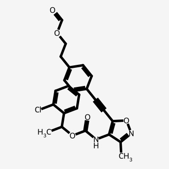 Cc1noc(C#Cc2ccc(CCOC=O)cc2)c1NC(=O)OC(C)c1ccccc1Cl